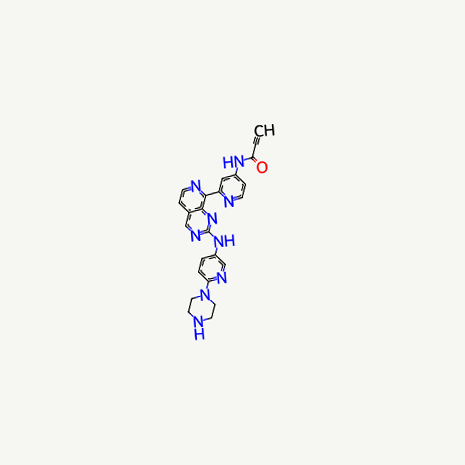 C#CC(=O)Nc1ccnc(-c2nccc3cnc(Nc4ccc(N5CCNCC5)nc4)nc23)c1